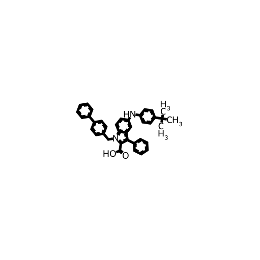 CC(C)(C)c1ccc(Nc2ccc3c(c2)c(-c2ccccc2)c(C(=O)O)n3Cc2ccc(-c3ccccc3)cc2)cc1